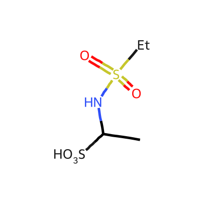 CCS(=O)(=O)NC(C)S(=O)(=O)O